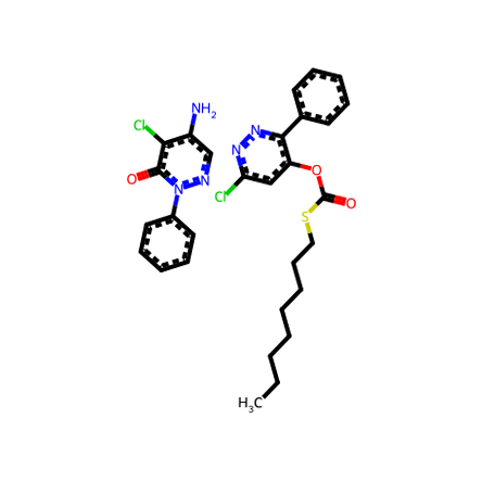 CCCCCCCCSC(=O)Oc1cc(Cl)nnc1-c1ccccc1.Nc1cnn(-c2ccccc2)c(=O)c1Cl